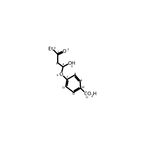 CCC(=O)CC(O)Oc1ccc(C(=O)O)cc1